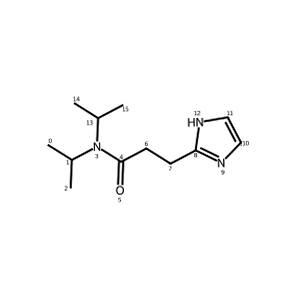 CC(C)N(C(=O)CCc1n[c]c[nH]1)C(C)C